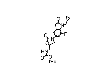 CC(C)(C)OC(=O)NCC1CN(c2cc(F)c3c(c2)CC(=O)N3CC2CC2)C(=O)O1